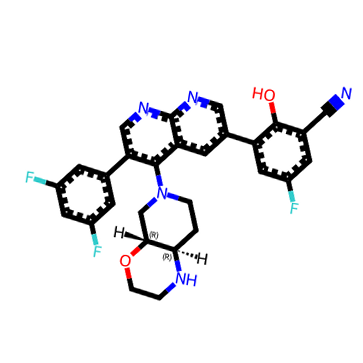 N#Cc1cc(F)cc(-c2cnc3ncc(-c4cc(F)cc(F)c4)c(N4CC[C@H]5NCCO[C@@H]5C4)c3c2)c1O